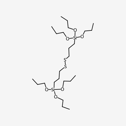 CCCO[Si](CCCSSCCC[Si](OCCC)(OCCC)OCCC)(OCCC)OCCC